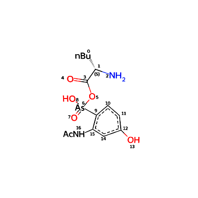 CCCC[C@H](N)C(=O)O[As](=O)(O)c1ccc(O)cc1NC(C)=O